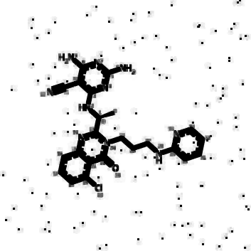 C[C@H](Nc1nc(N)nc(N)c1C#N)c1nc2cccc(Cl)c2c(=O)n1CCCNc1ccccn1